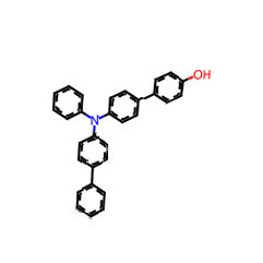 Oc1ccc(-c2ccc(N(c3ccccc3)c3ccc(-c4ccccc4)cc3)cc2)cc1